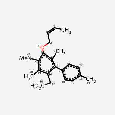 C/C=C\COc1c(C)c(-c2ccc(C)cc2)c(CC(=O)O)c(C)c1NC